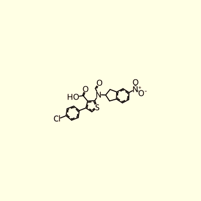 O=CN(c1scc(-c2ccc(Cl)cc2)c1C(=O)O)C1Cc2ccc([N+](=O)[O-])cc2C1